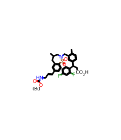 Cc1ccc(C(CC(=O)O)c2ccc(F)cc2F)cc1CN1CC(C)Cc2cc(C=CCNC(=O)OC(C)(C)C)ccc2S1(=O)=O